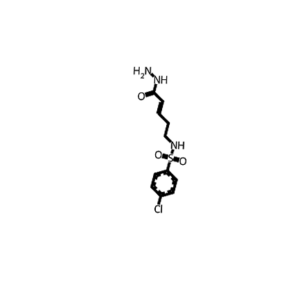 NNC(=O)C=CCCNS(=O)(=O)c1ccc(Cl)cc1